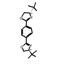 CC(C)(C)[C@H]1COC(c2ccc(C3=N[C@@H](C(C)(C)C)CO3)cc2)=N1